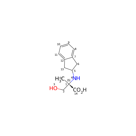 C[C@@](CO)(NC1Cc2ccccc2C1)C(=O)O